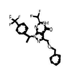 CC(c1ccc(C(F)(F)F)cc1)n1nc(COCc2ccccc2)c2c(=O)[nH]c(C(F)F)nc21